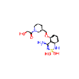 NC1=NS(O)(O)Nc2cccc(OCC3CCCN(C(=O)CO)C3)c21